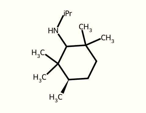 CC(C)NC1C(C)(C)CC[C@@H](C)C1(C)C